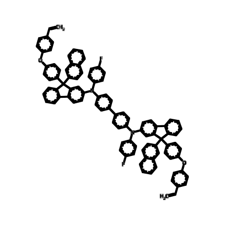 C=Cc1ccc(Oc2ccc(C3(c4ccc5ccccc5c4)c4ccccc4-c4ccc(N(c5ccc(F)cc5)c5ccc(-c6ccc(N(c7ccc(F)cc7)c7ccc8c(c7)C(c7ccc(Oc9ccc(C=C)cc9)cc7)(c7ccc9ccccc9c7)c7ccccc7-8)cc6)cc5)cc43)cc2)cc1